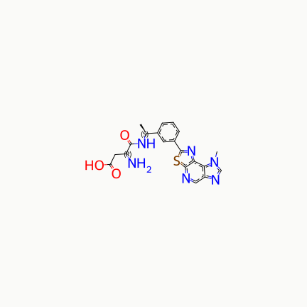 C[C@H](NC(=O)[C@H](N)CC(=O)O)c1cccc(-c2nc3c(ncc4ncn(C)c43)s2)c1